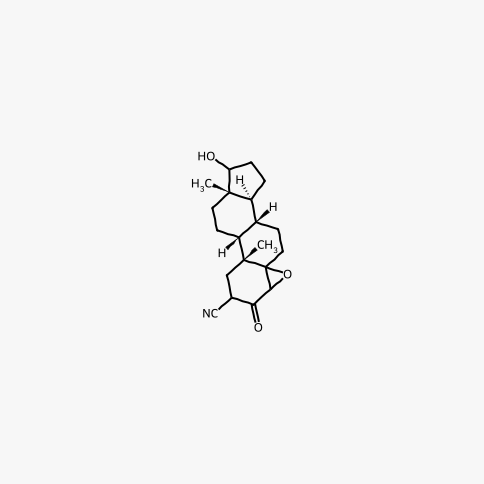 C[C@]12CC[C@@H]3[C@@H](CCC45OC4C(=O)C(C#N)C[C@]35C)[C@@H]1CCC2O